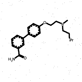 CC(C)CCN(C)CCOc1ccc(-c2cccc(C(N)=O)c2)cc1